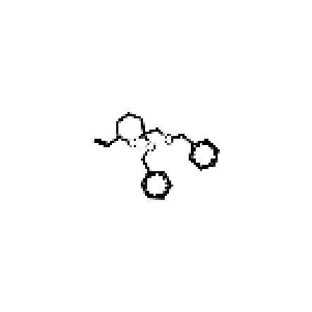 C=CC1CCCC(COCc2ccccc2)(OCc2ccccc2)O1